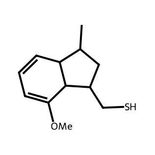 COC1=CC=CC2C(C)CC(CS)C12